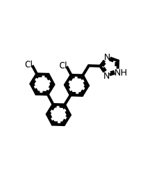 Clc1ccc(-c2ccccc2-c2ccc(Cc3nc[nH]n3)c(Cl)c2)cc1